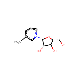 O=C(O)c1ccc[n+]([C@@H]2O[C@H](CO)C(O)[C@@H]2O)c1